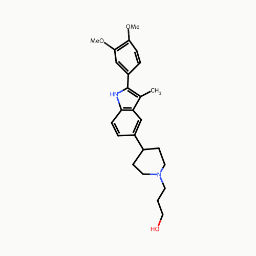 COc1ccc(-c2[nH]c3ccc(C4CCN(CCCO)CC4)cc3c2C)cc1OC